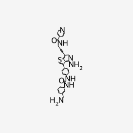 NCc1cccc(NC(=O)Nc2ccc(-c3csc4c(C#CCNC(=O)c5ccncc5)cnc(N)c34)cc2)c1